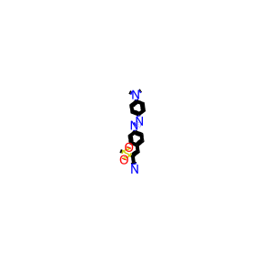 CN(C)c1ccc(/N=N/c2ccc(C=C(C#N)S(C)(=O)=O)cc2)cc1